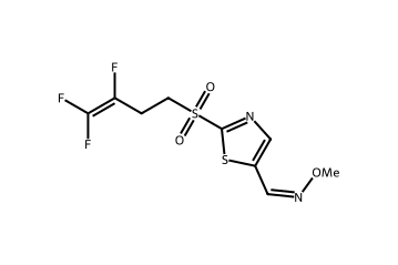 CO/N=C\c1cnc(S(=O)(=O)CCC(F)=C(F)F)s1